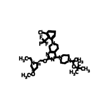 CCN1C[C@H](OC)C[C@H]1COc1nc2c(c(N3CCN(C(=O)OC(C)(C)C)CC3)n1)CCN(c1cccc(Cl)c1C(F)(F)F)C2